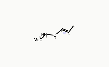 C/C=C/ONOC